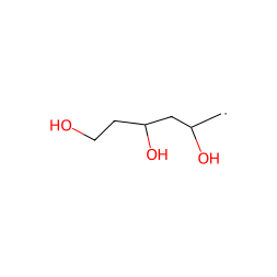 [CH2]C(O)CC(O)CCO